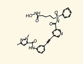 Cc1cc(C(=O)Nc2cccc(C#Cc3cncc(C(=O)N=S(=O)(CCCCC(=O)NO)c4ccccc4)c3)c2)n(C)n1